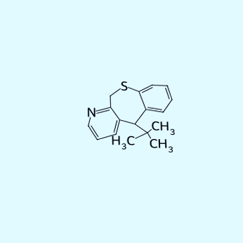 CC(C)(C)C1c2ccccc2SCc2ncccc21